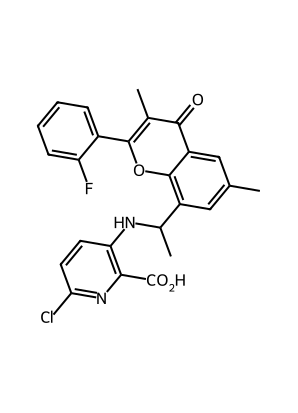 Cc1cc(C(C)Nc2ccc(Cl)nc2C(=O)O)c2oc(-c3ccccc3F)c(C)c(=O)c2c1